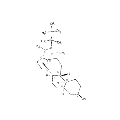 CC[C@]12CC[C@H]3[C@@H](CC[C@@H]4C[C@H](O)CC[C@@H]43)[C@@H]1CC[C@@H]2C(C)O[Si](C)(C)C(C)(C)C